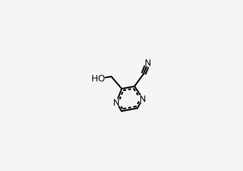 N#Cc1nccnc1CO